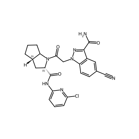 N#Cc1ccc2c(c1)c(C(N)=O)nn2CC(=O)N1C2CCC[C@H]2C[C@H]1C(=O)Nc1cccc(Cl)n1